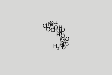 NS(=O)(=O)C1CCC[C@H]1OC(=O)c1ccc(N2C(=O)[C@@H]3C[C@H]2C[C@H]3OCc2c(-c3c(Cl)cccc3Cl)noc2C2CC2)cc1F